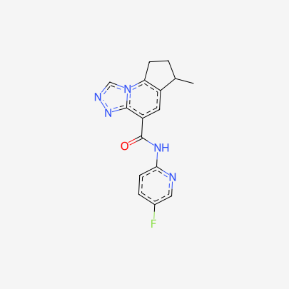 CC1CCc2c1cc(C(=O)Nc1ccc(F)cn1)c1nncn21